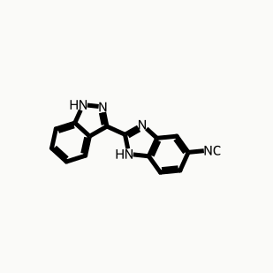 [C-]#[N+]c1ccc2[nH]c(-c3n[nH]c4ccccc34)nc2c1